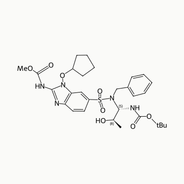 COC(=O)Nc1nc2ccc(S(=O)(=O)N(Cc3ccccc3)[C@H](NC(=O)OC(C)(C)C)[C@@H](C)O)cc2n1OC1CCCC1